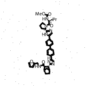 COC(=O)N[C@H](C(=O)N1CCC[C@H]1c1ncc(-c2ccc(-c3ccc(-c4cnc([C@@H]5C6CCC(C6)C5C(=O)NCc5ccco5)[nH]4)cc3)cc2)[nH]1)C(C)C